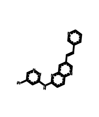 CC(C)c1cnnc(Nc2ccc3ncc(C=Cc4cccnc4)cc3n2)c1